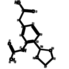 CC(=O)Nc1cc(CC(=O)O)ccc1C1OCCO1